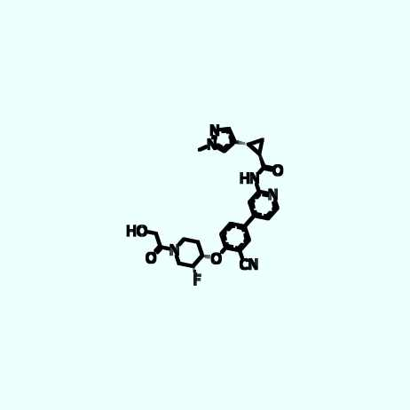 Cn1cc([C@@H]2C[C@H]2C(=O)Nc2cc(-c3ccc(O[C@H]4CCN(C(=O)CO)C[C@H]4F)c(C#N)c3)ccn2)cn1